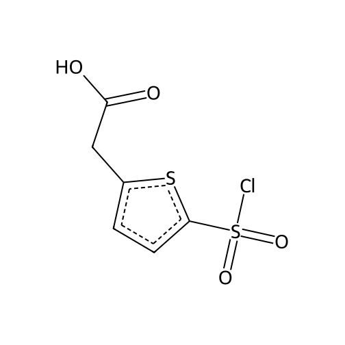 O=C(O)Cc1ccc(S(=O)(=O)Cl)s1